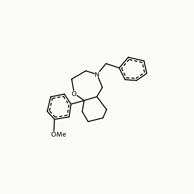 COc1cccc(C23CCCCC2CN(Cc2ccccc2)CCO3)c1